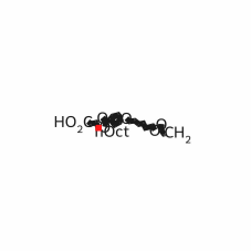 C=CC(=O)OCCCCCCOc1ccc(C(=O)OC(CCCCCCCC)CCC(=O)O)cc1